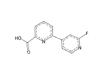 O=C(O)c1cccc(-c2ccnc(F)c2)n1